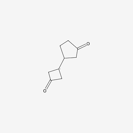 O=C1C[C](C2CCC(=O)C2)C1